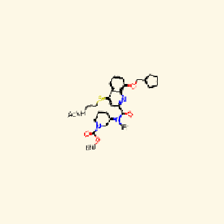 CC(=O)NCCSc1cc(C(=O)N(C(C)C)C2CCCN(C(=O)OC(C)(C)C)C2)nc2c(OCC3CCCC3)cccc12